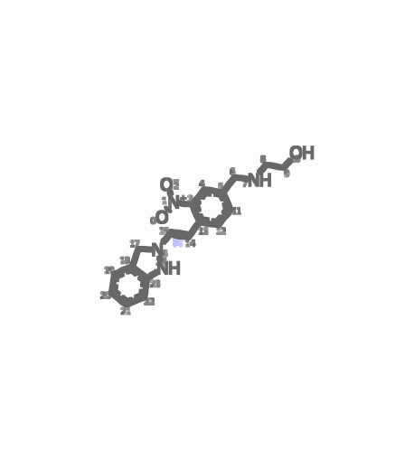 O=[N+]([O-])c1cc(CNCCO)ccc1/C=C/N1Cc2ccccc2N1